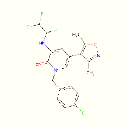 Cc1noc(C)c1-c1cc(NC(F)C(F)F)c(=O)n(Cc2ccc(Cl)cc2)c1